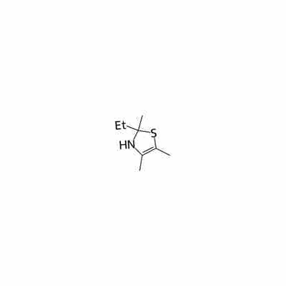 CCC1(C)NC(C)=C(C)S1